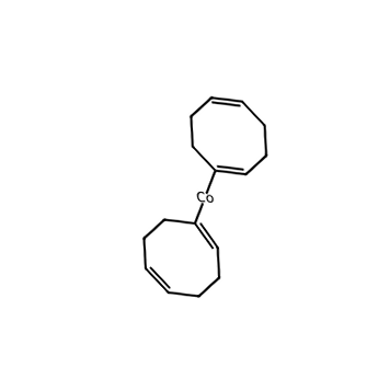 C1=CCC[C]([Co][C]2=CCCC=CCC2)=CCC1